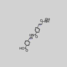 O=C(/C=C/c1ccc(C(=O)N/N=C/c2ccc(C(=O)O)cc2)cc1)NO